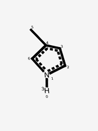 [3H]n1ccc(C)c1